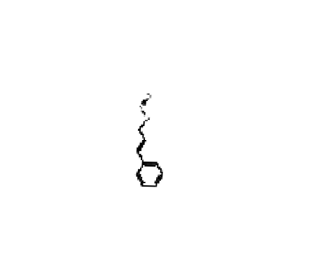 O=NOC/C=C/c1ccccc1